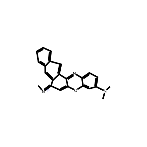 C/N=c1/cc2oc3cc(N(C)C)ccc3nc-2c2cc3ccccc3cc12